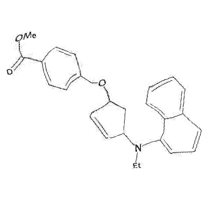 CCN(c1cccc2ccccc12)C1C=CC(Oc2ccc(C(=O)OC)cc2)C1